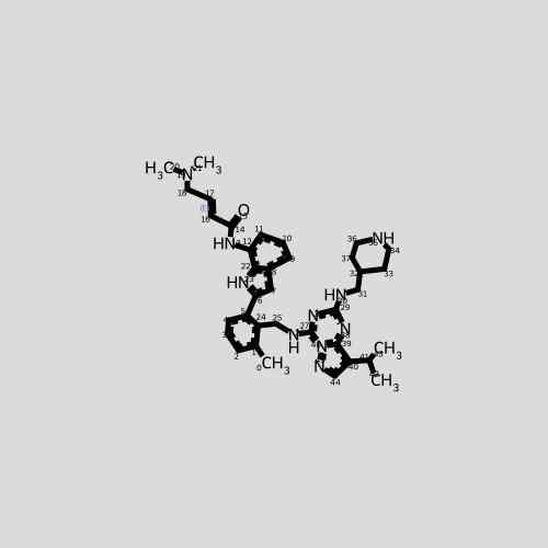 Cc1cccc(-c2cc3cccc(NC(=O)/C=C/CN(C)C)c3[nH]2)c1CNc1nc(NCC2CCNCC2)nc2c(C(C)C)cnn12